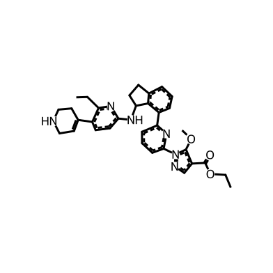 CCOC(=O)c1cnn(-c2cccc(-c3cccc4c3C(Nc3ccc(C5=CCNCC5)c(CC)n3)CC4)n2)c1OC